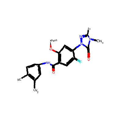 CCC[C@H](C)Oc1cc(-n2nc(CC)n(C)c2=O)c(F)cc1C(=O)Nc1ccc(C#N)c(C)c1